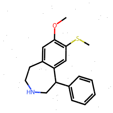 COc1cc2c(cc1SC)C(c1ccccc1)CNCC2